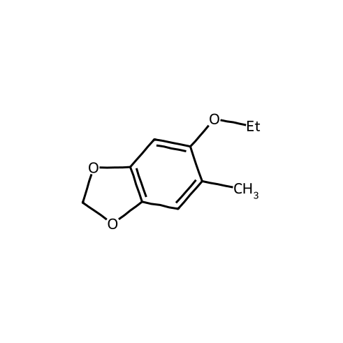 CCOc1cc2c(cc1C)OCO2